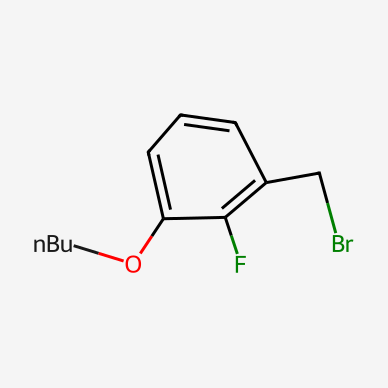 CCCCOc1cccc(CBr)c1F